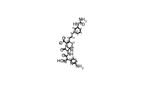 NC(=O)Nc1ccc[n+](C/C=C/C2=C(C(=O)[O-])N3C(=O)[C@@H](NC(=O)/C(=N\O)c4csc(N)n4)[C@H]3SC2)c1